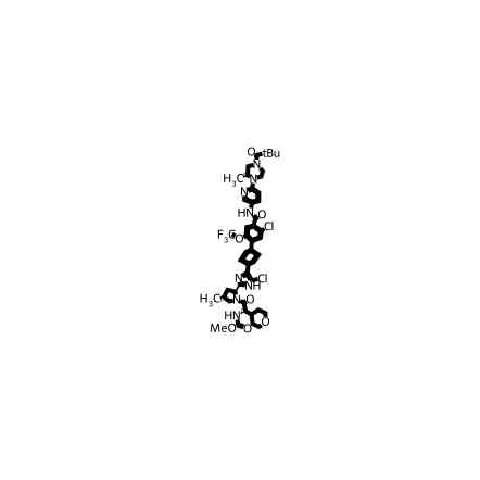 COC(=O)N[C@H](C(=O)N1C[C@@H](C)C[C@H]1c1nc(-c2ccc(-c3cc(Cl)c(C(=O)Nc4ccc(N5CCN(C(=O)C(C)(C)C)C[C@H]5C)nc4)cc3OC(F)(F)F)cc2)c(Cl)[nH]1)C1CCOCC1